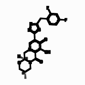 C[C@@H]1CO[C@H]2Cn3cc(-c4nnc(Cc5ccc(F)cc5F)s4)c(=O)c(O)c3C(=O)N2C1